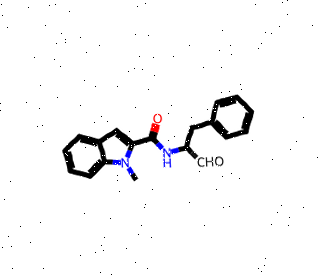 Cn1c(C(=O)NC(C=O)Cc2ccccc2)cc2ccccc21